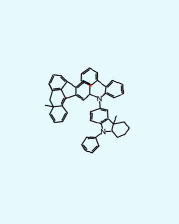 CC12C=CC=CC1=C1C3=CC(N(c4ccc5c(c4)C4(C)CCCCC4N5c4ccccc4)c4ccccc4-c4ccccc4)CC=C3c3cccc(c31)C2